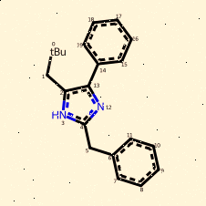 CC(C)(C)Cc1[nH]c(Cc2ccccc2)nc1-c1ccccc1